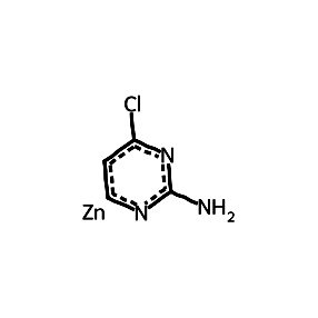 Nc1nccc(Cl)n1.[Zn]